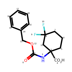 O=C(NC1(C(=O)O)CCCC(F)(F)C1)OCc1ccccc1